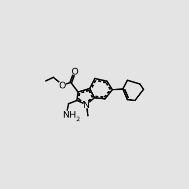 CCOC(=O)c1c(CN)n(C)c2cc(C3=CCCCC3)ccc12